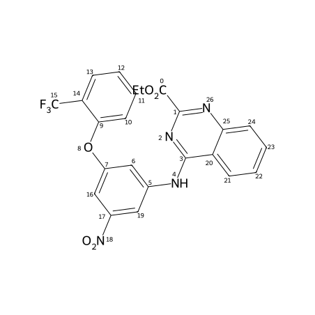 CCOC(=O)c1nc(Nc2cc(Oc3ccccc3C(F)(F)F)cc([N+](=O)[O-])c2)c2ccccc2n1